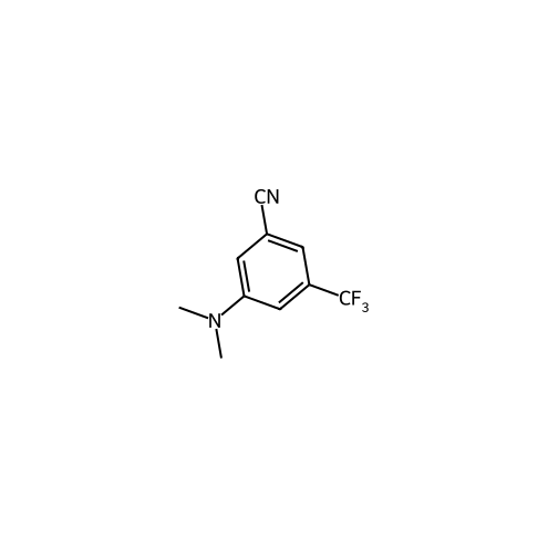 CN(C)c1cc(C#N)cc(C(F)(F)F)c1